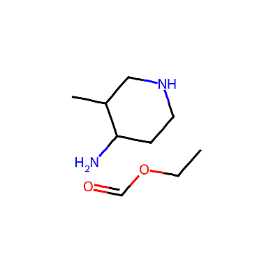 CC1CNCCC1N.CCOC=O